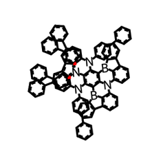 c1ccc(-c2ccc(N(c3ccc(-c4ccccc4)cc3)c3c4c5c(c(N(c6ccc(-c7ccccc7)cc6)c6ccc(-c7ccccc7)cc6)c3-n3c6ccc(-c7ccccc7)cc6c6cc(-c7ccccc7)ccc63)B3c6ccccc6-c6cccc(c63)N5c3cccc5c3B4c3ccccc3-5)cc2)cc1